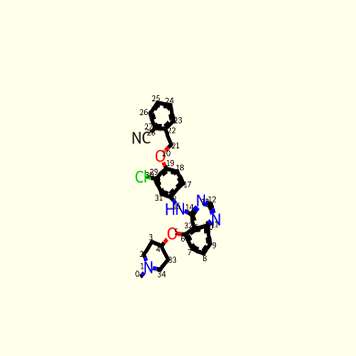 CN1CCC(Oc2cccc3ncnc(Nc4ccc(OCc5ccccc5C#N)c(Cl)c4)c23)CC1